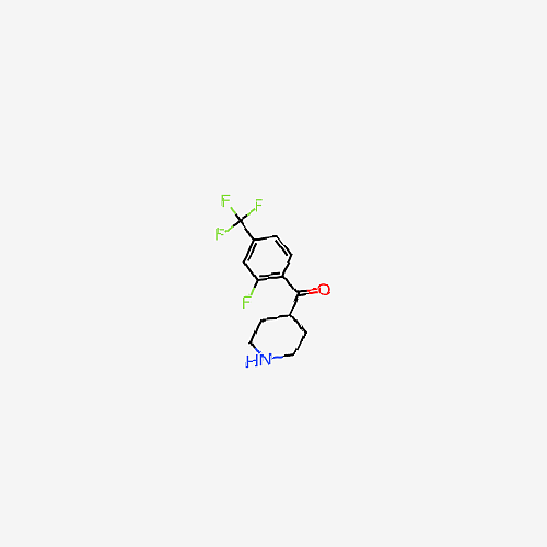 O=C(c1ccc(C(F)(F)F)cc1F)C1CCNCC1